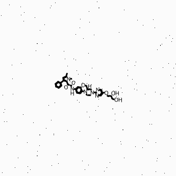 Cc1cc(-c2ccccc2)c(C(=O)C(=O)Nc2ccc3c(c2)OC[C@@H]2CN(c4ncc(OCC(O)CO)cn4)CCN32)n1C